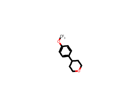 FC(F)(F)Oc1ccc(C2CCOCC2)cc1